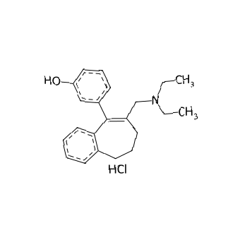 CCN(CC)CC1=C(c2cccc(O)c2)c2ccccc2CCC1.Cl